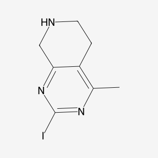 Cc1nc(I)nc2c1CCNC2